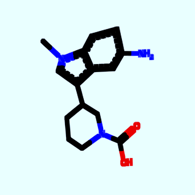 Cn1cc(C2CCCN(C(=O)O)C2)c2cc(N)ccc21